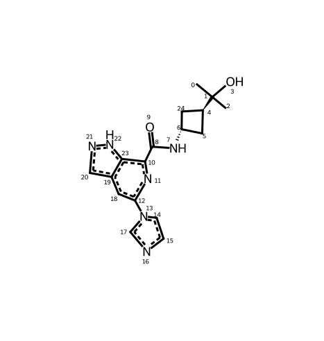 CC(C)(O)[C@H]1C[C@H](NC(=O)c2nc(-n3ccnc3)cc3cn[nH]c23)C1